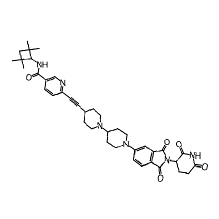 CC1(C)CC(C)(C)C1NC(=O)c1ccc(C#CC2CCN(C3CCN(c4ccc5c(c4)C(=O)N(C4CCC(=O)NC4=O)C5=O)CC3)CC2)nc1